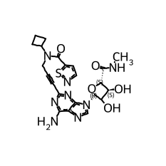 CNC(=O)[C@H]1O[C@@H](n2cnc3c(N)nc(C#CCN(C(=O)c4ccns4)C4CCC4)nc32)C(O)[C@@H]1O